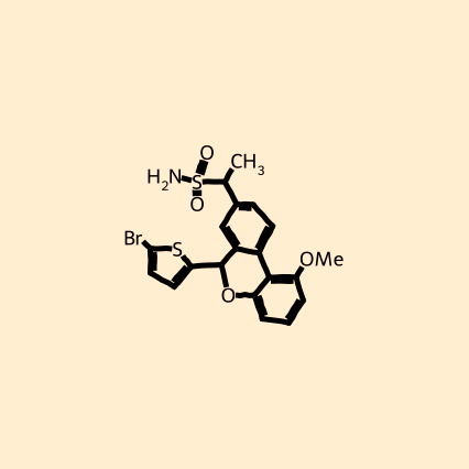 COc1cccc2c1-c1ccc(C(C)S(N)(=O)=O)cc1C(c1ccc(Br)s1)O2